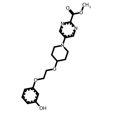 COC(=O)c1ncc(N2CCC(OCCOc3cccc(O)c3)CC2)cn1